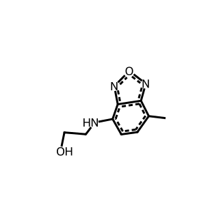 Cc1ccc(NCCO)c2nonc12